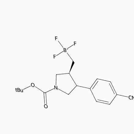 CC(C)(C)OC(=O)N1CC(c2ccc(C#N)cc2)[C@H](C[B-](F)(F)F)C1